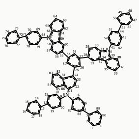 c1ccc(-c2ccc(N(c3ccc(-c4ccccc4)cc3)c3ccc(-c4cc(-c5ccc6c(c5)c5ccccc5n6-c5ccc(-c6ccccc6)cc5)cc(-c5ccc6c(c5)c5ccccc5n6-c5ccc(-c6ccccc6)cc5)c4)c4ccccc34)cc2)cc1